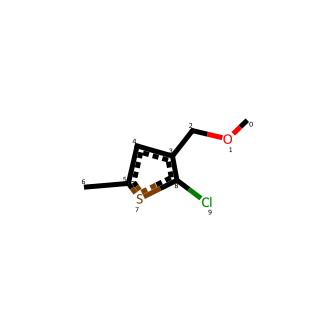 COCc1cc(C)sc1Cl